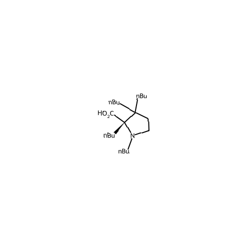 CCCCN1CCC(CCCC)(CCCC)[C@@]1(CCCC)C(=O)O